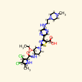 CCO[C@H]1CN(c2nc(-c3cnc(NCCN4CCN(C)CC4)cn3)c(C(=O)O)s2)CC[C@H]1NC(=O)c1[nH]c(C)c(Cl)c1Cl